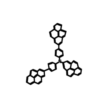 c1cc2ccc3cc(-c4ccc(N(c5ccc(-c6cc7ccc8cccc9ccc(c6)c7c89)cc5)c5cc6ccc7cccc8ccc(c5)c6c78)cc4)cc4ccc(c1)c2c34